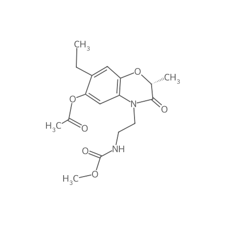 CCc1cc2c(cc1OC(C)=O)N(CCNC(=O)OC)C(=O)[C@@H](C)O2